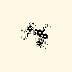 CCCOc1c(C)nc(C)nc1N(C)Cc1ccc(-c2ccccc2S(=O)(=O)Nc2noc(C)c2C)c(COCC)c1